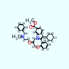 COC(=O)c1ccc2c(C3CCCCC3)c3n(c2c1)C[C@H](OCCN(C)Cc1ccccc1)COc1ccccc1-3